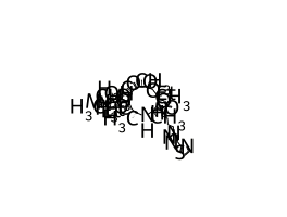 CCO[C@@H](O[C@@H]1[C@@H](C)C(=O)[C@@H](C)C(=O)O[C@H](CC)[C@@]2(C)OC(=O)N(CCCCn3cc(-c4nccs4)nn3)[C@@H]2[C@@H](C)NC[C@H](C)C[C@@]1(C)OC)C(O)C(CC)N(C)C